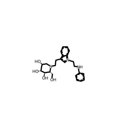 OC[C@@H]1[C@@H](O)[C@H](O)[C@@H](O)CN1CCc1cn(CCNc2ccccc2)c2ccccc12